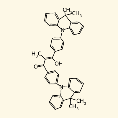 CC(C(=O)c1ccc(N2c3ccccc3C(C)(C)c3ccccc32)cc1)=C(O)c1ccc(N2c3ccccc3C(C)(C)c3ccccc32)cc1